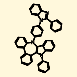 c1ccc(-c2nc3ccccc3n2-c2ccc(N3c4ccccc4-c4ccccc4-c4c3c3ccccc3n4-c3ccccc3)cc2)cc1